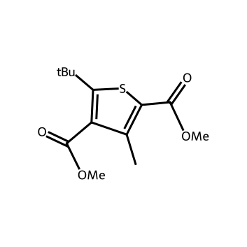 COC(=O)c1sc(C(C)(C)C)c(C(=O)OC)c1C